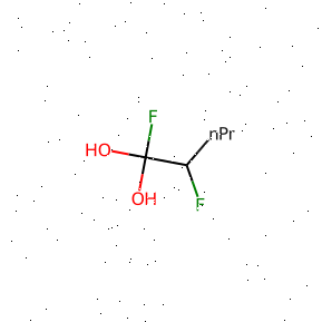 CCCC(F)C(O)(O)F